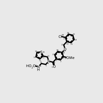 COc1cc(C(=O)N(CCNC(=O)O)Cc2cccs2)ccc1OCc1ccccc1Cl